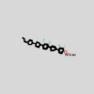 C/C=C/C1CCC(C2CCC(c3ccc(-c4ccc(-c5ccc(OCCCCCCCCC)c(F)c5F)cc4)c(F)c3F)CC2)CC1